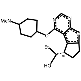 CCC(O)[C@H]1CCc2sc3ncnc(OC4CCC(NC)CC4)c3c21